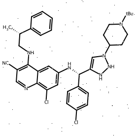 C[C@@H](CNc1c(C#N)cnc2c(Cl)cc(N[C@H](C3=CN(C4CCN(C(C)(C)C)CC4)NN3)c3ccc(Cl)cc3)cc12)c1ccccc1